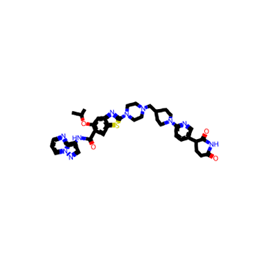 CC(C)Oc1cc2nc(N3CCN(CC4CCN(c5ccc(C6CCC(=O)NC6=O)cn5)CC4)CC3)sc2cc1C(=O)Nc1cnn2cccnc12